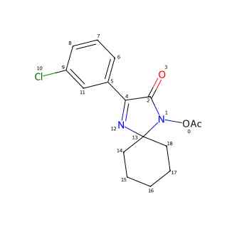 CC(=O)ON1C(=O)C(c2cccc(Cl)c2)=NC12CCCCC2